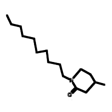 CCCCCCCCCCN1CCC(C)CC1=O